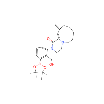 C=C1/C=C2/C(=O)N(c3cccc(B4OC(C)(C)C(C)(C)O4)c3CO)CCN2CCCCC1